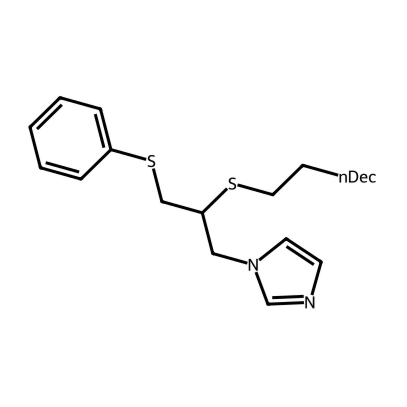 CCCCCCCCCCCCSC(CSc1ccccc1)Cn1ccnc1